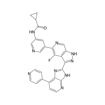 O=C(Nc1cncc(-c2ncc3[nH]nc(-c4nc5c(-c6ccncc6)ccnc5[nH]4)c3c2F)c1)C1CC1